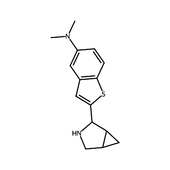 CN(C)c1ccc2sc(C3NCC4CC43)cc2c1